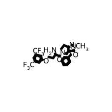 CN1N=C2CCN(C(=O)C(N)CCOc3cc(C(F)(F)F)cc(C(F)(F)F)c3)C[C@@]2(Cc2ccccc2)C1=O